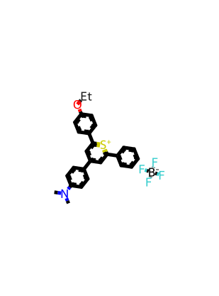 CCOc1ccc(-c2cc(-c3ccc(N(C)C)cc3)cc(-c3ccccc3)[s+]2)cc1.F[B-](F)(F)F